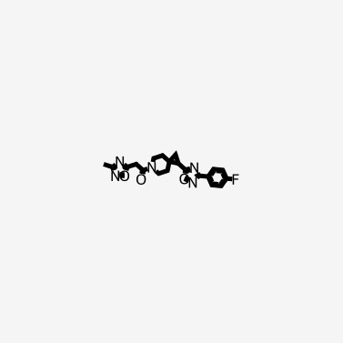 Cc1noc(CC(=O)N2CCC3(CC2)CC3c2nc(-c3ccc(F)cc3)no2)n1